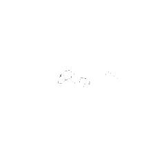 COCc1cc2c(Nc3cc([C@H]4OC[C@@H](OC(=O)NC5(C)CC5)[C@@H]4F)[nH]n3)nc(C)cn2n1